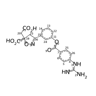 N=C(N)Nc1ccc(C(=O)Oc2cccc(C3=NO[C@](CC(=O)O)(C(=O)O)C3)c2)cc1